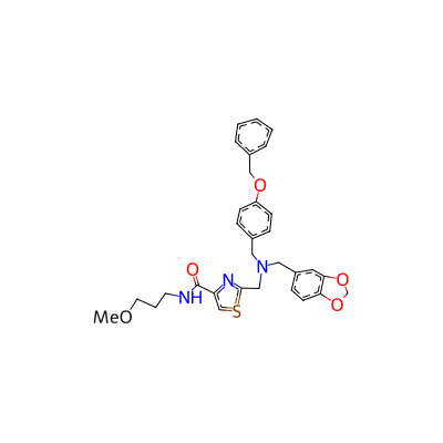 COCCCNC(=O)c1csc(CN(Cc2ccc(OCc3ccccc3)cc2)Cc2ccc3c(c2)OCO3)n1